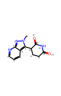 Cn1nc2ncccc2c1C1CCC(=O)NC1=O